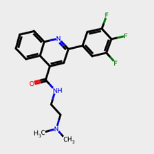 CN(C)CCNC(=O)c1cc(-c2cc(F)c(F)c(F)c2)nc2ccccc12